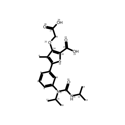 Cc1c(-c2cccc(N(C(=O)NC(C)C)C(C)C)c2)sc(C(=O)O)c1OCC(=O)O